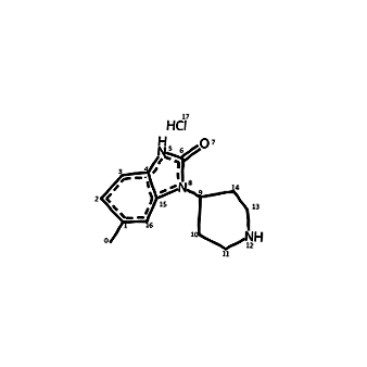 Cc1ccc2[nH]c(=O)n(C3CCNCC3)c2c1.Cl